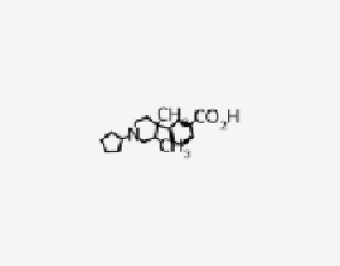 CC1CN(C2CCCC2)CCC1(C)c1cccc(C(=O)O)c1